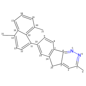 Cc1cc2c(nn1)-c1ccc(-c3ccc(C)c4cccc(C)c34)cc1C2